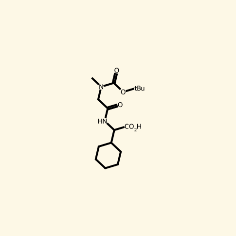 CN(CC(=O)NC(C(=O)O)C1CCCCC1)C(=O)OC(C)(C)C